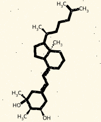 CC(C)CCC[C@H](C)C1CCC2/C(=C/C=C3/C[C@@H](O)[C@@H](C)[C@](C)(O)C3)CCC[C@@]21C